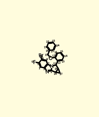 Fc1cc2nc3n(c2cc1Br)C(c1ccccc1OCc1ccccc1)C1CC31